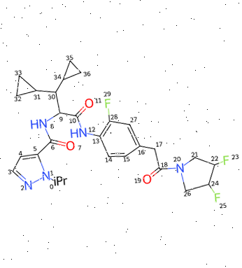 CC(C)n1nccc1C(=O)NC(C(=O)Nc1ccc(CC(=O)N2CC(F)C(F)C2)cc1F)C(C1CC1)C1CC1